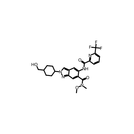 CON(C)C(=O)c1cc2nn(C3CCC(CO)CC3)cc2cc1NC(=O)c1cccc(C(F)(F)F)n1